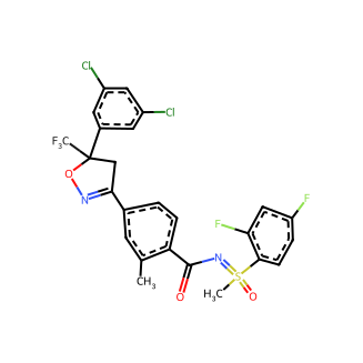 Cc1cc(C2=NOC(c3cc(Cl)cc(Cl)c3)(C(F)(F)F)C2)ccc1C(=O)N=S(C)(=O)c1ccc(F)cc1F